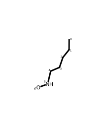 CCCCCN[O]